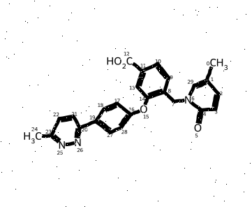 Cc1ccc(=O)n(Cc2ccc(C(=O)O)cc2Oc2ccc(-c3ccc(C)nn3)cc2)c1